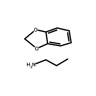 CCCN.c1ccc2c(c1)OCO2